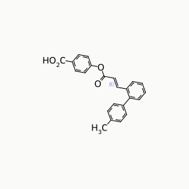 Cc1ccc(-c2ccccc2/C=C/C(=O)Oc2ccc(C(=O)O)cc2)cc1